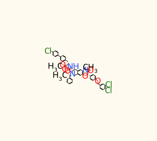 CC[C@@H](c1ccccc1)N1Cc2cc3c(cc2C[C@H]1C(=O)N[C@@H](Cc1ccc(-c2ccc(Cl)cc2)cc1)C(=O)OC)N(C)C(=O)[C@H](c1ccc(OCc2ccc(Cl)c(Cl)c2)cc1)O3